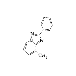 Cc1cccn2nc(-c3ccccc3)nc12